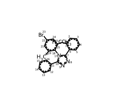 Cc1ccccc1-c1nnc(-c2ccccc2)n1-c1c(C)cc(Br)cc1C